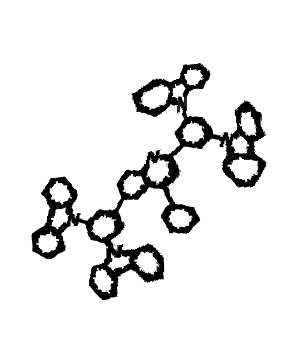 c1ccc(-c2cc(-c3cc(-n4c5ccccc5c5ccccc54)cc(-n4c5ccccc5c5ccccc54)c3)nc3ccc(-c4cc(-n5c6ccccc6c6ccccc65)cc(-n5c6ccccc6c6ccccc65)c4)cc23)cc1